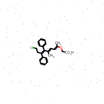 C\C(=C/C=C(C)/C(=C(/CCCl)c1ccccc1)c1ccccc1)OCC(=O)O